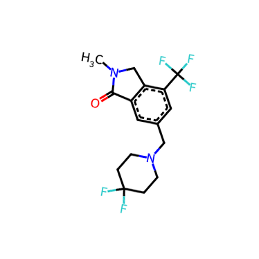 CN1Cc2c(cc(CN3CCC(F)(F)CC3)cc2C(F)(F)F)C1=O